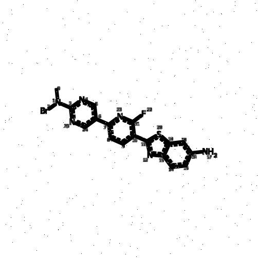 CN(Br)c1ncc(-c2ccc(-c3nc4ccc(N)cc4s3)c(F)n2)cn1